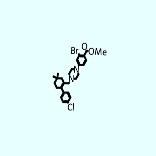 COC(=O)c1ccc(N2CCN(CC3=C(c4ccc(Cl)cc4)CCC(C)(C)C3)CC2)cc1Br